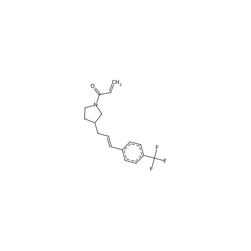 C=CC(=O)N1CCC(CC=Cc2ccc(C(F)(F)F)cc2)C1